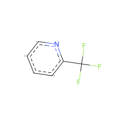 FC(F)(F)c1[c]c[c][c]n1